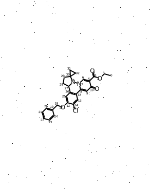 CCOC(=O)c1cn2c(cc1=O)-c1cc(Cl)c(OCc3ccccc3)cc1C1CCC3(CC3)N12